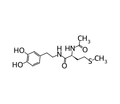 CSCC[C@H](NC(C)=O)C(=O)NCCc1ccc(O)c(O)c1